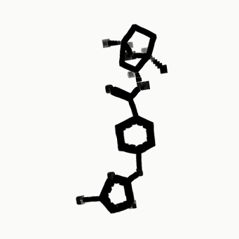 O=C(N[C@@H]1C[C@H]2CC[C@@H]1N2)c1ccc(Sc2ncc(Cl)o2)cc1